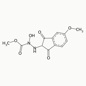 COC(=O)N(O)NC1C(=O)c2ccc(OC)cc2C1=O